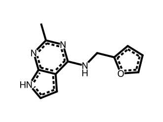 Cc1nc(NCc2ccco2)c2cc[nH]c2n1